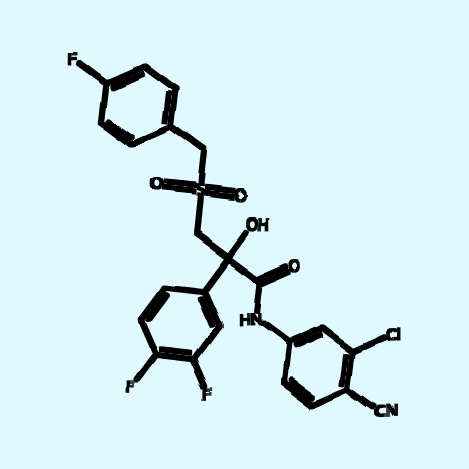 N#Cc1ccc(NC(=O)C(O)(CS(=O)(=O)Cc2ccc(F)cc2)c2ccc(F)c(F)c2)cc1Cl